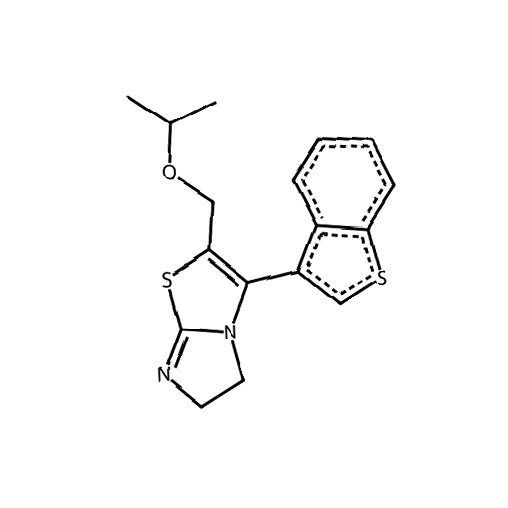 CC(C)OCC1=C(c2csc3ccccc23)N2CCN=C2S1